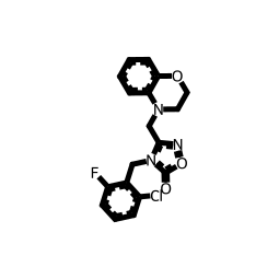 O=c1onc(CN2CCOc3ccccc32)n1Cc1c(F)cccc1Cl